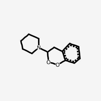 c1ccc2c(c1)CC(N1CCCCC1)OO2